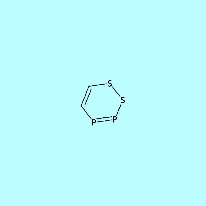 C1=CSSP=P1